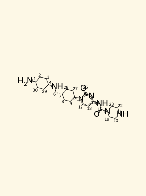 N[C@H]1CC[C@H](NC[C@H]2CC[C@H](n3ccc(NC(=O)N4CCNCC4)nc3=O)CC2)CC1